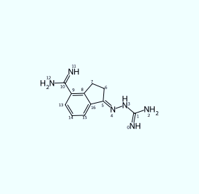 N=C(N)N/N=C1\CCc2c(C(=N)N)cccc21